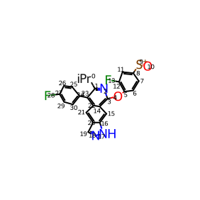 CC(C)c1nc(Oc2ccc([S+]=O)cc2F)c2cc3[nH]ncc3cc2c1-c1ccc(F)cc1